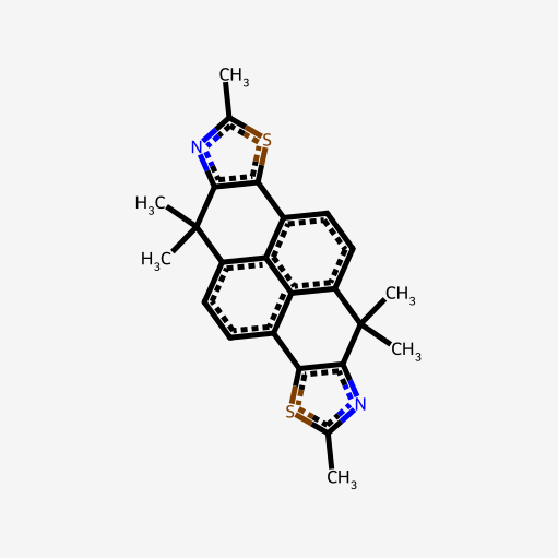 Cc1nc2c(s1)-c1ccc3c4c(ccc(c14)C2(C)C)-c1sc(C)nc1C3(C)C